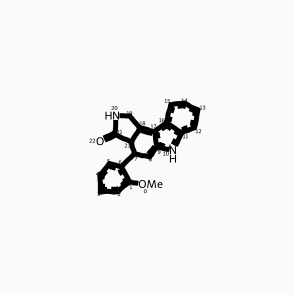 COc1ccccc1C1C=c2[nH]c3ccccc3c2=C2CNC(=O)C21